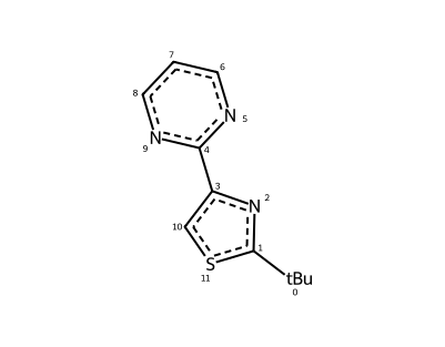 CC(C)(C)c1nc(-c2ncccn2)cs1